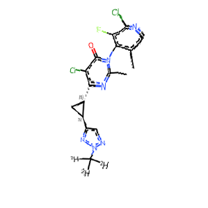 [2H]C([2H])([2H])n1ncc([C@H]2C[C@@H]2c2nc(C)n(-c3c(C)cnc(Cl)c3F)c(=O)c2Cl)n1